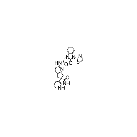 O=C(Cn1c(=O)n(-c2nccs2)c2ccccc21)Nc1ccc2c(n1)CC1(C2)C(=O)NC2=C1C=CCN2